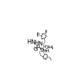 CCc1ccc2c(c1)C(NCC(O)C(Cc1cc(F)cc(F)c1)Nc1c(NC)c(=O)c1=O)CCC2